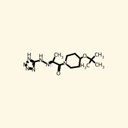 C/C(=N\Nc1nnn[nH]1)C(=O)N1CCC(OC(C)(C)C)CC1